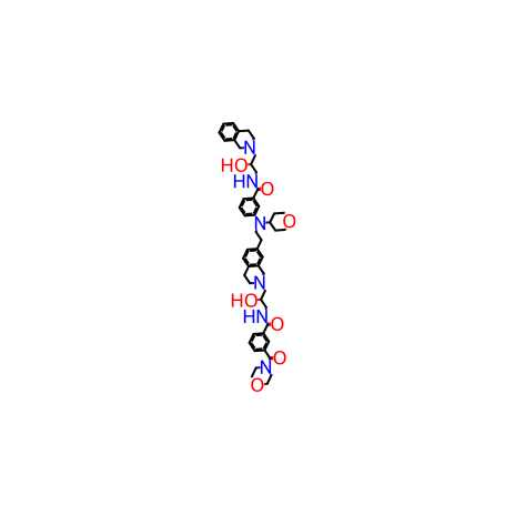 O=C(NCC(O)CN1CCc2ccccc2C1)c1cccc(N(CCc2ccc3c(c2)CN(CC(O)CNC(=O)c2cccc(C(=O)N4CCOCC4)c2)CC3)C2CCOCC2)c1